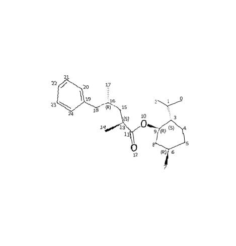 CC(C)[C@@H]1CC[C@@H](C)C[C@H]1OC(=O)[C@@H](C)C[C@@H](C)Cc1ccccc1